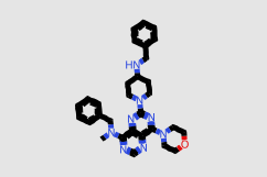 CN(Cc1ccccc1)c1ncnc2c(N3CCOCC3)nc(N3CCC(NCc4ccccc4)CC3)nc12